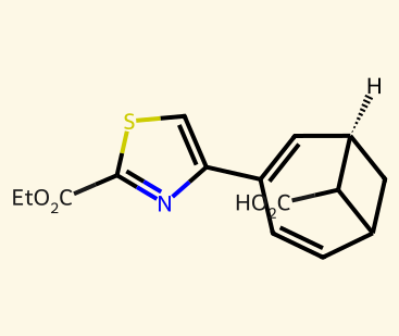 CCOC(=O)c1nc(C2=C[C@H]3CC(C=C2)C3C(=O)O)cs1